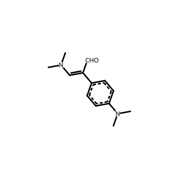 CN(C)C=C(C=O)c1ccc(N(C)C)cc1